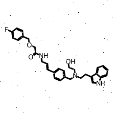 O=C(COCc1ccc(F)cc1)NCC=Cc1ccc(CN(CCO)CCc2c[nH]c3ccccc23)cc1